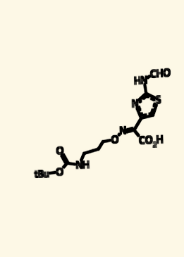 CC(C)(C)OC(=O)NCCCO/N=C(\C(=O)O)c1csc(NC=O)n1